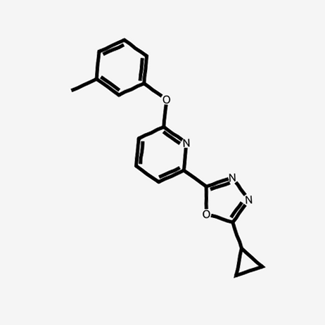 Cc1cccc(Oc2cccc(-c3nnc(C4CC4)o3)n2)c1